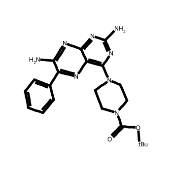 CC(C)(C)OC(=O)N1CCN(c2nc(N)nc3nc(N)c(-c4ccccc4)nc23)CC1